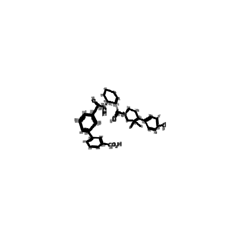 CC1(C)CN(C(=O)[C@H]2CCCC[C@H]2NC(=O)c2cccc(-c3cccc(C(=O)O)c3)c2)CCC1c1ccc(Cl)cc1